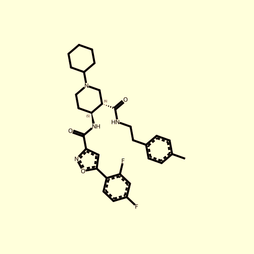 Cc1ccc(CCNC(=O)[C@H]2CN(C3CCCCC3)CC[C@@H]2NC(=O)c2cc(-c3ccc(F)cc3F)on2)cc1